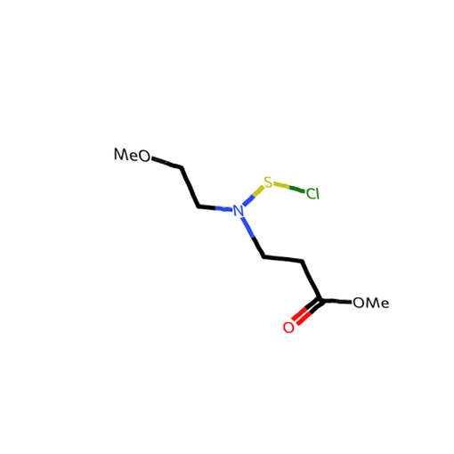 COCCN(CCC(=O)OC)SCl